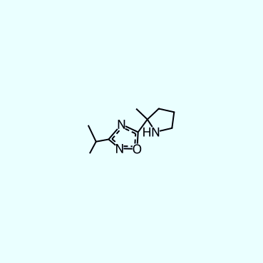 CC(C)c1noc(C2(C)CCCN2)n1